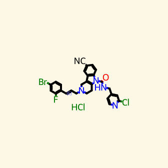 Cl.N#Cc1ccc2c(c1)c1c(n2C(=O)NCc2ccnc(Cl)c2)CCN(C/C=C/c2ccc(Br)cc2F)C1